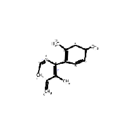 C=C/C(C)=C(\N=C/C)C1=C(C)CC(C)C=C1